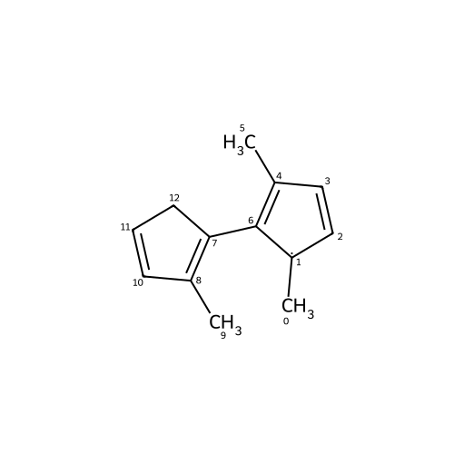 C[C]1C=CC(C)=C1C1=C(C)C=CC1